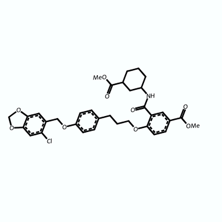 COC(=O)c1ccc(OCCCc2ccc(OCc3cc4c(cc3Cl)OCO4)cc2)c(C(=O)NC2CCCC(C(=O)OC)C2)c1